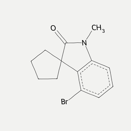 CN1C(=O)C2(CCCC2)c2c(Br)cccc21